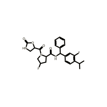 CC(C)c1ccc(C(NC(=O)C2CC(F)CN2C(=O)C2CNC(=O)O2)c2ccccc2)cc1F